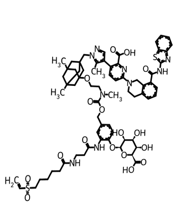 C=CS(=O)(=O)CCCCCC(=O)NCCC(=O)Nc1cc(COC(=O)N(C)CCOC23CC4(C)CC(C)(CC(Cn5ncc(-c6ccc(N7CCc8cccc(C(=O)Nc9nc%10ccccc%10s9)c8C7)nc6C(=O)O)c5C)(C4)C2)C3)ccc1O[C@@H]1O[C@H](C(=O)O)[C@H](O)[C@H](O)[C@@H]1O